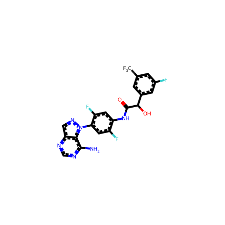 Nc1ncnc2cnn(-c3cc(F)c(NC(=O)C(O)c4cc(F)cc(C(F)(F)F)c4)cc3F)c12